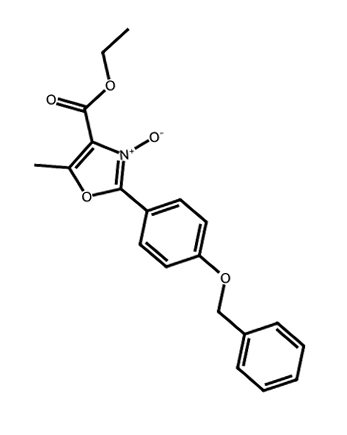 CCOC(=O)c1c(C)oc(-c2ccc(OCc3ccccc3)cc2)[n+]1[O-]